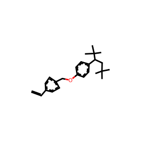 C=Cc1ccc(COc2ccc(C(CC(C)(C)C)C(C)(C)C)cc2)cc1